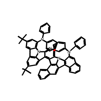 CC(C)(C)c1cc(N(c2ccccc2)c2ccccc2)c2c(c1)c1cc(C(C)(C)C)cc3c4c5c6c7ccccc7cc7c8c9ccccc9cc(N(c9ccccc9)c9ccccc9)c8n(c5cnc4n2c13)c76